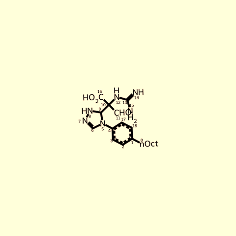 CCCCCCCCc1ccc(N2C=NNC2C(C=O)(NC(=N)N)C(=O)O)cc1